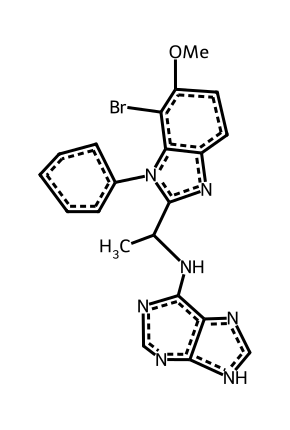 COc1ccc2nc(C(C)Nc3ncnc4[nH]cnc34)n(-c3ccccc3)c2c1Br